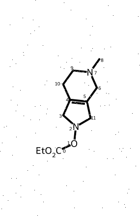 CCOC(=O)ON1CC2=C(CN(C)CC2)C1